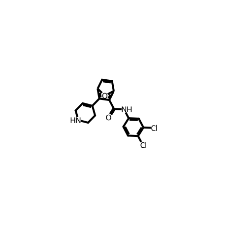 O=C(Nc1ccc(Cl)c(Cl)c1)c1c(C2=CCNCC2)c2ccc1o2